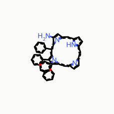 NC1=Cc2cc3ccc(cc4nc(cc5c(-c6ccccc6)c(-c6ccccc6)c(c(-c6ccccc6)c1n2)n5-c1ccccc1)C=C4)[nH]3